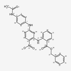 CC(=O)Nc1ccc(Nc2ncc([N+](=O)[O-])c(Nc3ccccc3C(=O)OCc3ccccc3)n2)cc1